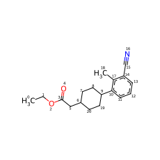 CCOC(=O)CC1CCC(c2cccc(C#N)c2C)CC1